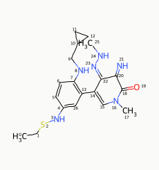 CCSNc1ccc(NCC2CC2)c(C2=CN(C)C(=O)C(=N)/C2=N\NC)c1